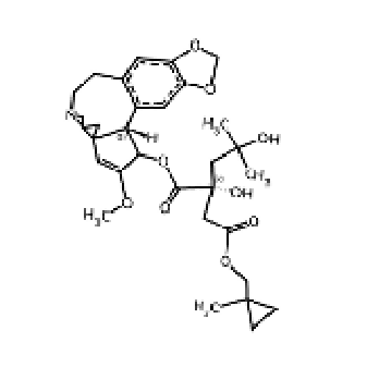 COC1=CC23CCCN2CCc2cc4c(cc2[C@@H]3C1OC(=O)[C@](O)(CC(=O)OCC1(C)CC1)CC(C)(C)O)OCO4